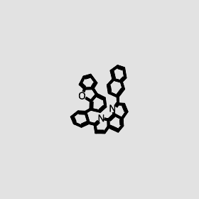 c1ccc(-c2cccc3c2oc2ccccc23)c(-c2ccc3ccc4ccc(-c5ccc6ccccc6c5)nc4c3n2)c1